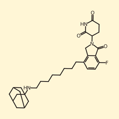 O=C1CCC(N2Cc3c(CCCCCCCCNC45CC6CC(CC(C6)C4)C5)ccc(F)c3C2=O)C(=O)N1